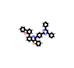 c1ccc(-c2cc(-c3ccccc3)nc(-c3ccc(-c4nc5c(-c6cccc7c6oc6ccccc67)cccc5c5oc6ccccc6c45)cc3)n2)cc1